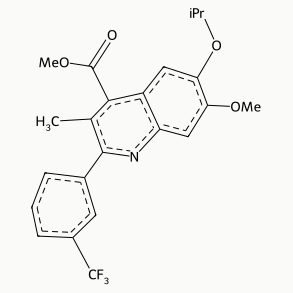 COC(=O)c1c(C)c(-c2cccc(C(F)(F)F)c2)nc2cc(OC)c(OC(C)C)cc12